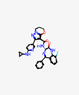 O=C(N[C@H]1N=C(c2ccccc2)c2cccc(F)c2NC1=O)c1c(-c2ccc(NC3CC3)nc2)nn2c1OCCC2